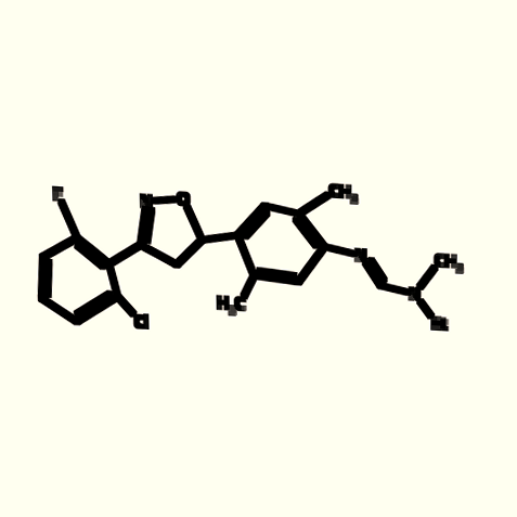 CCN(C)C=Nc1cc(C)c(C2CC(c3c(F)cccc3Cl)=NO2)cc1C